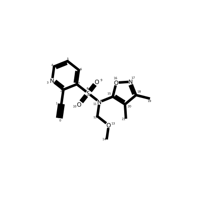 C#Cc1ncccc1S(=O)(=O)N(COC)c1onc(C)c1C